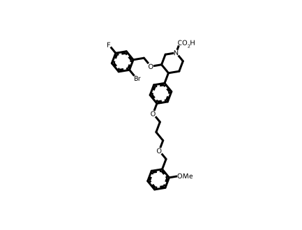 COc1ccccc1COCCCOc1ccc(C2CCN(C(=O)O)CC2OCc2cc(F)ccc2Br)cc1